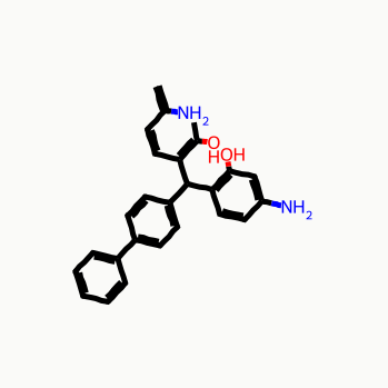 C=C(N)/C=C\C(=C(/C)O)C(c1ccc(-c2ccccc2)cc1)c1ccc(N)cc1O